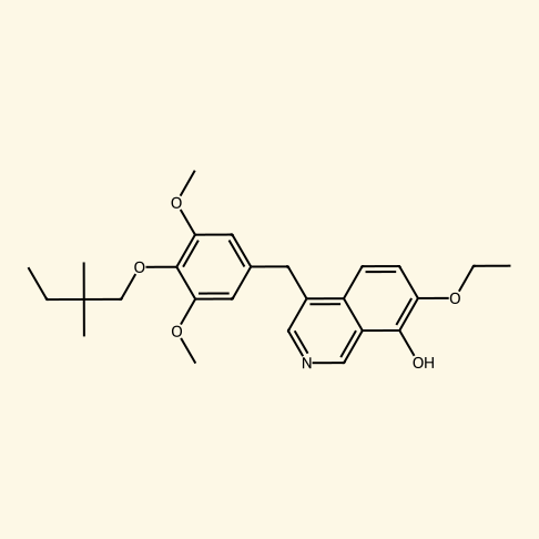 CCOc1ccc2c(Cc3cc(OC)c(OCC(C)(C)CC)c(OC)c3)cncc2c1O